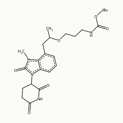 CC(Cc1cccc2c1n(C)c(=O)n2C1CCC(=O)NC1=O)OCCCNC(=O)OC(C)(C)C